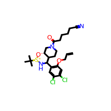 C=CCOc1cc(Cl)c(Cl)cc1C(N[S+]([O-])C(C)(C)C)C1CCN(C(=O)CCCCC#N)CC1